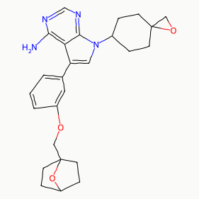 Nc1ncnc2c1c(-c1cccc(OCC34CCC(CC3)O4)c1)cn2C1CCC2(CC1)CO2